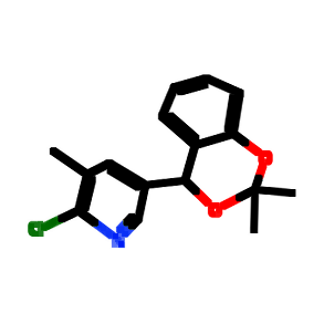 Cc1cc(C2OC(C)(C)Oc3ccccc32)cnc1Cl